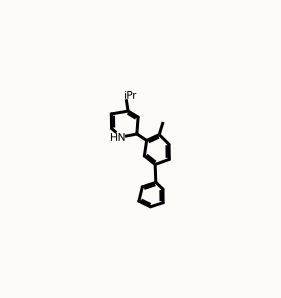 Cc1ccc(-c2ccccc2)cc1C1C=C(C(C)C)C=CN1